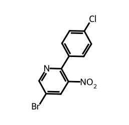 O=[N+]([O-])c1cc(Br)cnc1-c1ccc(Cl)cc1